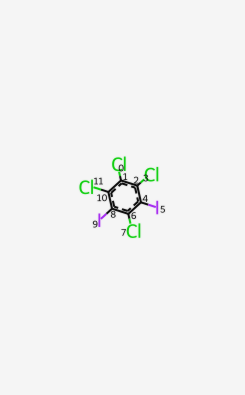 Clc1c(Cl)c(I)c(Cl)c(I)c1Cl